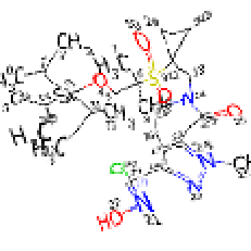 CC(C)[Si](OCC(C)(C)S(=O)(=O)C1(CN2CCc3c(/C(Cl)=N/O)nn(C)c3C2=O)CC1)(C(C)C)C(C)C